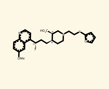 COc1ccc2nccc([C@@H](F)CC[C@@H]3CCN(CCSc4ccco4)C[C@@H]3C(=O)O)c2c1